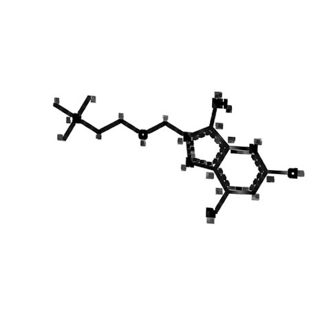 C[Si](C)(C)CCOCn1nc2c(Br)cc(Cl)nc2c1N